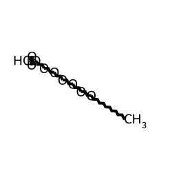 CCCCCCCCCCCCOCCOCCOCCOCCOCCOCCOS(=O)(=O)O